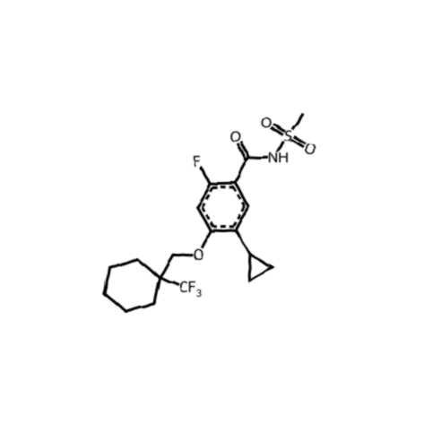 CS(=O)(=O)NC(=O)c1cc(C2CC2)c(OCC2(C(F)(F)F)CCCCC2)cc1F